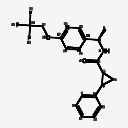 C[C@@H](NC(=O)C1CC1c1ccccc1)c1cnc(OCC(F)(F)F)cn1